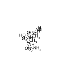 C[C@@H](NC(=O)Cn1cnnn1)[C@H]1C(=O)N2C(C(=O)O)=C(S[C@@H]3CNC(C(=O)N4CCCC(N)C4)C3)[C@H](C)[C@H]12